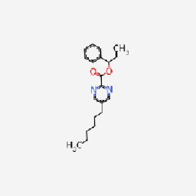 CCCCCCc1cnc(C(=O)OC(CC)c2ccccc2)nc1